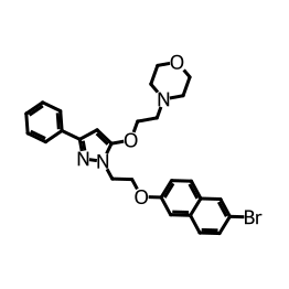 Brc1ccc2cc(OCCn3nc(-c4ccccc4)cc3OCCN3CCOCC3)ccc2c1